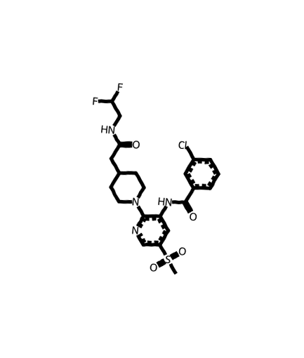 CS(=O)(=O)c1cnc(N2CCC(CC(=O)NCC(F)F)CC2)c(NC(=O)c2cccc(Cl)c2)c1